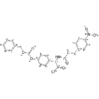 O=C(NC(C(=O)Cl)c1ccc(OC(=O)OCc2ccccc2)cc1)OCc1ccc([N+](=O)[O-])cc1